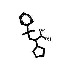 CC(C)(CC(C(O)O)C1CCCC1)c1ccccc1